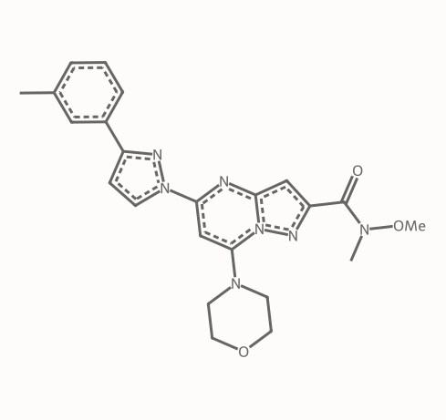 CON(C)C(=O)c1cc2nc(-n3ccc(-c4cccc(C)c4)n3)cc(N3CCOCC3)n2n1